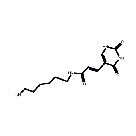 NCCCCCCNC(=O)/C=C/c1c[nH]c(=O)[nH]c1=O